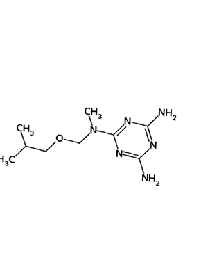 CC(C)COCN(C)c1nc(N)nc(N)n1